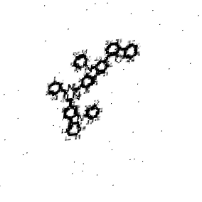 c1ccc(-c2nc(-c3ccc4c5ccccc5n(-c5ccccc5)c4c3)nc(-c3ccc4c5ccc(-c6cccc7c6oc6ccccc67)cc5n(-c5ccccc5)c4c3)n2)cc1